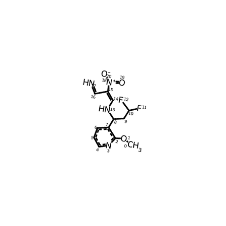 COc1ncccc1C(CC(F)F)N/C=C(\C=N)[N+](=O)[O-]